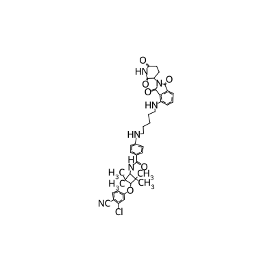 CC1(C)C(NC(=O)c2ccc(NCCCCCNc3cccc4c3C(=O)N(C3CCC(=O)NC3=O)C4=O)cc2)C(C)(C)C1Oc1ccc(C#N)c(Cl)c1